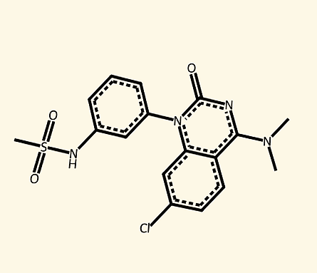 CN(C)c1nc(=O)n(-c2cccc(NS(C)(=O)=O)c2)c2cc(Cl)ccc12